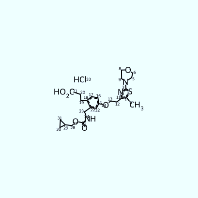 Cc1sc(N2CCOCC2)nc1CCOc1ccc(CCC(=O)O)c(CNC(=O)OCC2CC2)c1.Cl